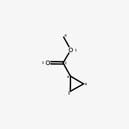 COC(=O)C1[CH]C1